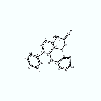 O=C1CCc2c(ccc(-c3cccnc3)c2Oc2ccccc2)N1